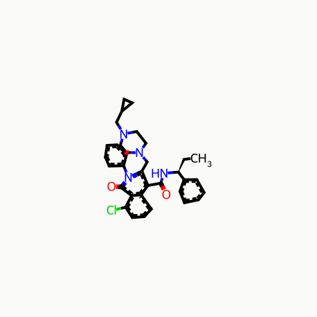 CC[C@H](NC(=O)c1c(CN2CCN(CC3CC3)CC2)n(-c2ccccc2)c(=O)c2c(Cl)cccc12)c1ccccc1